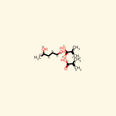 C=C(C)C(=O)O.C=C(C)C(=O)O.CC(O)CCCO